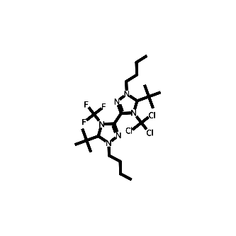 CCCCN1N=C(C2=NN(CCCC)C(C(C)(C)C)N2C(Cl)(Cl)Cl)N(C(F)(F)F)C1C(C)(C)C